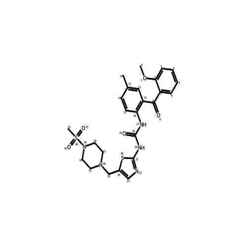 COc1ccccc1C(=O)c1cc(C)ccc1NC(=O)Nc1ncc(CN2CCN(S(C)(=O)=O)CC2)s1